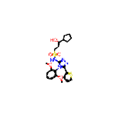 COc1cccc(OC)c1-n1c(NS(=O)(=O)CC[C@@H](O)C2CCCC2)nnc1-c1cccs1